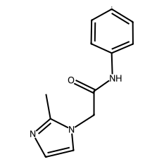 Cc1nccn1CC(=O)Nc1cc[c]cc1